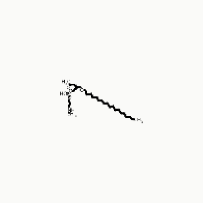 CCCCCCCCCCCCCCCCCCCOCC(COP(O)OCCCNC)CC(C)=O